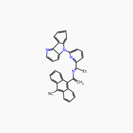 C=C(/N=C(\CC)c1cccc(-n2c3ccccc3c3ncccc32)n1)c1c2ccccc2c(C#N)c2ccccc12